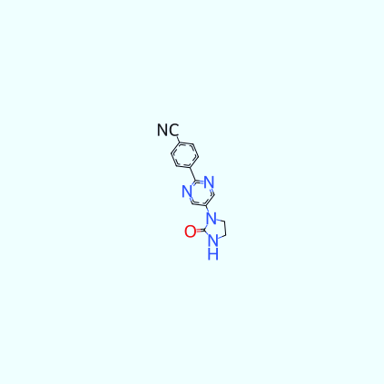 N#Cc1ccc(-c2ncc(N3CCNC3=O)cn2)cc1